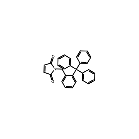 O=C1C=CC(=O)N1Cc1ccccc1C(c1ccccc1)(c1ccccc1)c1ccccc1